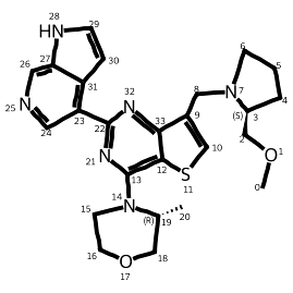 COC[C@@H]1CCCN1Cc1csc2c(N3CCOC[C@H]3C)nc(-c3cncc4[nH]ccc34)nc12